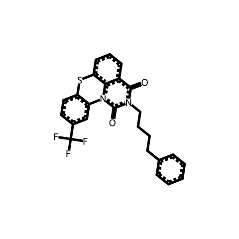 O=c1c2cccc3c2n(c(=O)n1CCCCc1ccccc1)-c1cc(C(F)(F)F)ccc1S3